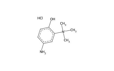 C[N+](C)(C)c1cc(N)ccc1O.Cl